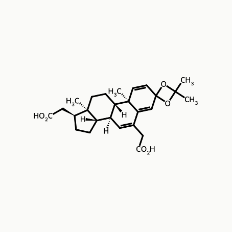 CC1(C)OC2(C=C[C@@]3(C)C(=C2)C(CC(=O)O)=C[C@H]2[C@@H]4CC[C@@H](CC(=O)O)[C@@]4(C)CC[C@@H]23)O1